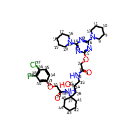 O=C(COc1nc(N2CCCCC2)nc(N2CCCCC2)n1)NC[C@@H](O)CC1(NC(=O)COc2ccc(Cl)c(F)c2)CCCCC1